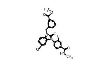 CNC(=O)c1ccc(-n2c(=O)n(Cc3cccc(C(=O)OC)c3)c3ccc(Cl)cc32)c(F)c1